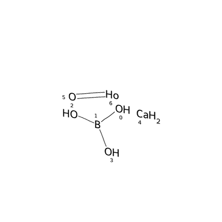 OB(O)O.[CaH2].[O]=[Ho]